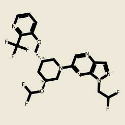 FC(F)Cn1ncc2ncc(N3C[C@@H](COc4cccnc4C(F)(F)F)C[C@H](OC(F)F)C3)nc21